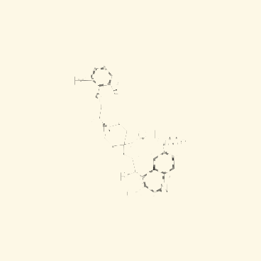 COc1ccc2ncc(Cl)c(C(F)CCC3(CO)CCN(CCSc4c(F)cccc4F)CC3)c2c1